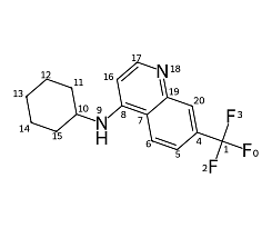 FC(F)(F)c1ccc2c(NC3CCCCC3)ccnc2c1